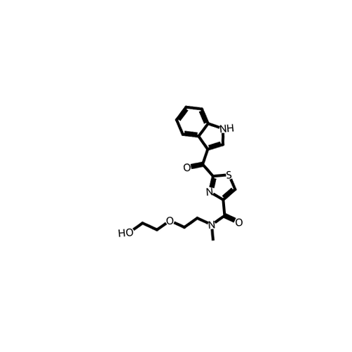 CN(CCOCCO)C(=O)c1csc(C(=O)c2c[nH]c3ccccc23)n1